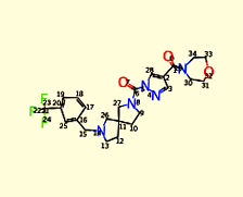 O=C(c1cnn(C(=O)N2CCC3(CCN(Cc4cccc(C(F)(F)F)c4)C3)C2)c1)N1CCOCC1